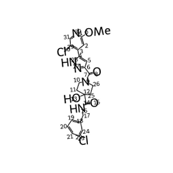 COc1cc(-c2cc(C(=O)N3CCC(O)(C(=O)NCc4cccc(Cl)c4)CC3)n[nH]2)c(Cl)cn1